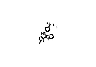 CC(=O)c1ccc(Nc2c(-c3cccc(F)n3)nc3ccccn23)cc1